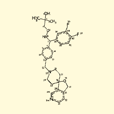 CC(C)(O)CONC(c1ccc(CN2CCC3(CC2)OCc2ccncc23)cc1)c1ccc(F)c(F)c1